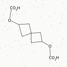 O=C(O)OC1CC2(C1)CC(OC(=O)O)C2